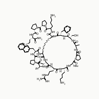 CCCC[C@@H]1NC(=O)[C@H](CCCCN)NC(=O)[C@H](CCCNC(=N)N)NC(=O)[C@H](CC(C)C)NC(=O)C(NC(=O)[C@H](Cc2ccc3ccccc3c2)NC(=O)[C@@H]2CCCN2C(=O)[C@@H](NC(C)=O)C(C)C)CCSSC[C@@H](C(=O)NC(CCCCN)C(=O)N2CCC[C@H]2C(=O)N2CCC[C@H]2C(=O)N[C@@H](CCC(=O)O)C(N)=O)NC(=O)[C@H](Cc2ccccc2)NC(=O)[C@H](CO)NC(=O)C(C)NC(=O)[C@@H]2CCCN2C1=O